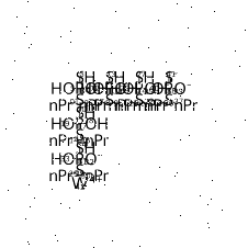 CCCS(CCC)=P(O)(O)S.CCCS(CCC)=P(O)(O)S.CCCS(CCC)=P(O)(O)S.CCCS(CCC)=P(O)(O)S.CCCS(CCC)=P([O-])(O)S.CCCS(CCC)=P([O-])([O-])[S-].[W+4]